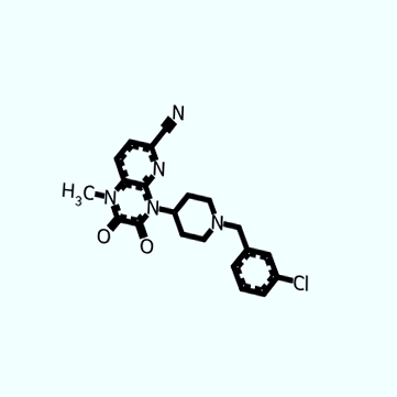 Cn1c(=O)c(=O)n(C2CCN(Cc3cccc(Cl)c3)CC2)c2nc(C#N)ccc21